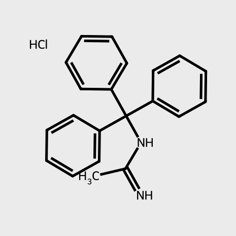 CC(=N)NC(c1ccccc1)(c1ccccc1)c1ccccc1.Cl